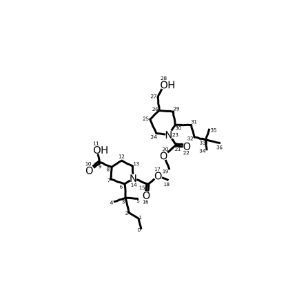 CCCC(C)(C)C1CC(C(=O)O)CCN1C(=O)OC.COC(=O)N1CCC(CO)CC1CCC(C)(C)C